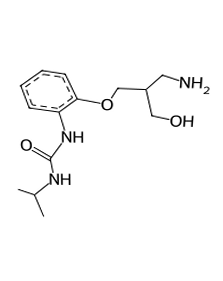 CC(C)NC(=O)Nc1ccccc1OCC(CN)CO